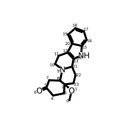 COC12CCC(=O)CC1N1CCc3c([nH]c4ccccc34)C1CC2